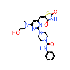 CN(CCO)c1cc(C=C2SC(=O)NC2=O)nc(N2CCN(C(=O)Nc3ccccc3)CC2)n1